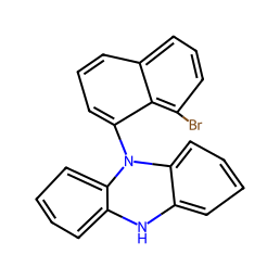 Brc1cccc2cccc(N3c4ccccc4Nc4ccccc43)c12